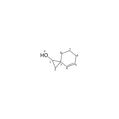 OC1CC12C=CCCC2